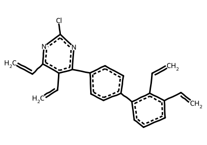 C=Cc1cccc(-c2ccc(-c3nc(Cl)nc(C=C)c3C=C)cc2)c1C=C